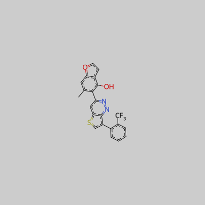 Cc1cc2occc2c(O)c1-c1cc2scc(-c3ccccc3C(F)(F)F)c2nn1